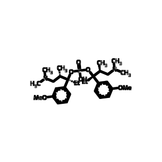 CC[C@](OP(=O)(O)O[C@@](CC)(c1cccc(OC)c1)[C@@H](C)CN(C)C)(c1cccc(OC)c1)[C@@H](C)CN(C)C